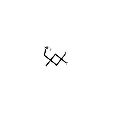 CC1(CN)CC(F)(F)C1